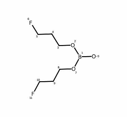 [O]B(OCCCF)OCCCF